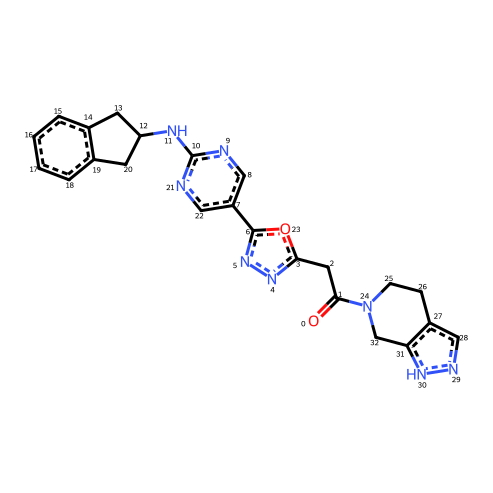 O=C(Cc1nnc(-c2cnc(NC3Cc4ccccc4C3)nc2)o1)N1CCc2cn[nH]c2C1